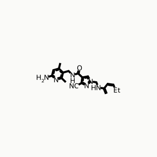 C=C(/C=C\CC)NCn1cc(C(=O)NCc2c(C)cc(N)nc2C)c(C#N)n1